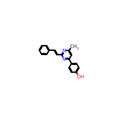 Cc1cc(-c2ccc(O)cc2)nc(C=Cc2ccccc2)n1